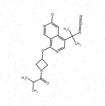 CN(C)C(=O)N1CC(Oc2ncc(C(C)(C)N=[N+]=[N-])c3cc(Cl)ncc23)C1